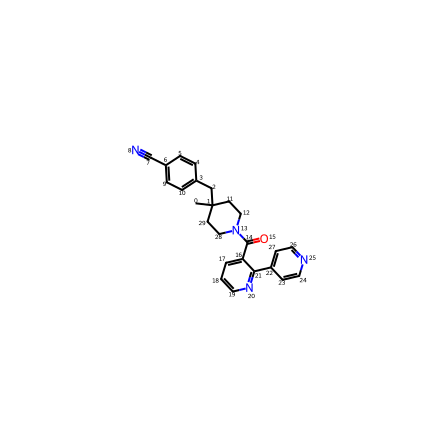 CC1(Cc2ccc(C#N)cc2)CCN(C(=O)c2cccnc2-c2ccncc2)CC1